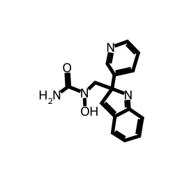 NC(=O)N(O)CC1(c2cccnc2)C=c2ccccc2=N1